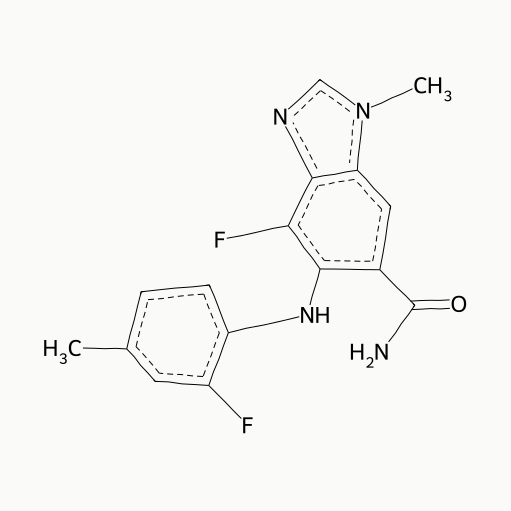 Cc1ccc(Nc2c(C(N)=O)cc3c(ncn3C)c2F)c(F)c1